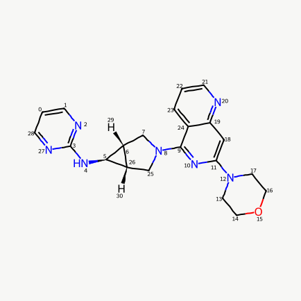 c1cnc(N[C@H]2[C@@H]3CN(c4nc(N5CCOCC5)cc5ncccc45)C[C@@H]32)nc1